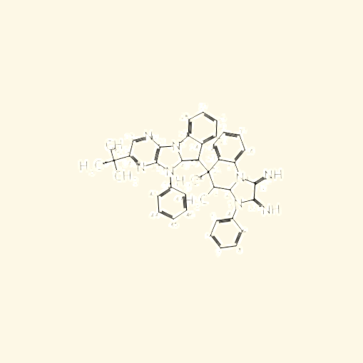 CC1C2N(c3ccccc3)C(=N)C(=N)N2c2ccccc2C1(C)C1c2ccccc2N2c3ncc(C(C)(C)C)nc3N(c3ccccc3)C12